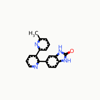 Cc1cccc(-c2cccnc2-c2ccc3[nH]c(=O)[nH]c3c2)n1